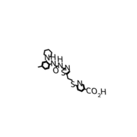 Cc1ccc(NC(=O)Nc2ncc(CCSc3ccc(C(=O)O)cn3)s2)c(N2CCCCC2)c1